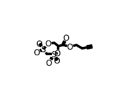 C#CCCOC(=O)C1COS(=O)(=O)CS(=O)(=O)O1